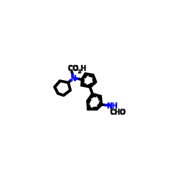 O=CNc1cccc(-c2cccc(N(C(=O)O)C3CCCCC3)c2)c1